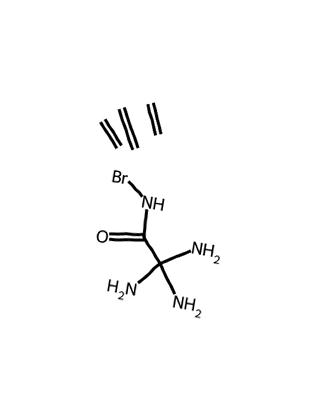 C=C.C=C.C=C.NC(N)(N)C(=O)NBr